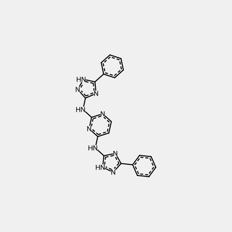 c1ccc(-c2n[nH]c(Nc3ccnc(Nc4n[nH]c(-c5ccccc5)n4)n3)n2)cc1